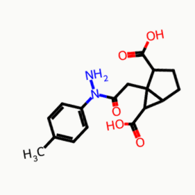 Cc1ccc(N(N)C(=O)CC23C(C(=O)O)CCC2C3C(=O)O)cc1